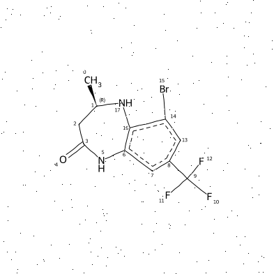 C[C@@H]1CC(=O)Nc2cc(C(F)(F)F)cc(Br)c2N1